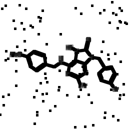 CCCc1nc(NCc2ccc(OC)cc2)c2c(n1)n(Cc1ccc(Br)cc1)c(=O)n2S